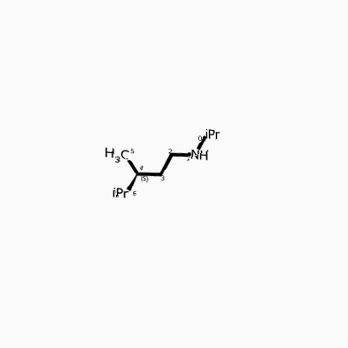 CC(C)NCC[C@H](C)C(C)C